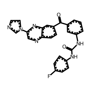 O=C(Nc1ccc(F)cc1)Nc1cccc(C(=O)c2ccc3ncc(-n4ccnc4)nc3c2)c1